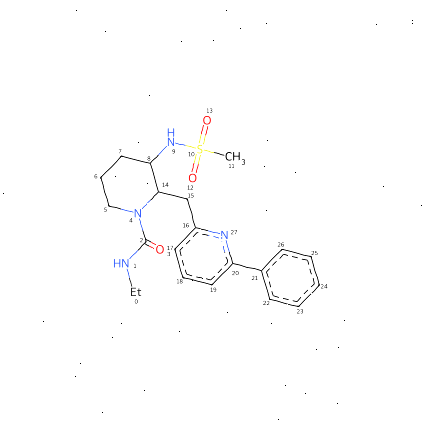 CCNC(=O)N1CCCC(NS(C)(=O)=O)C1Cc1cccc(-c2ccccc2)n1